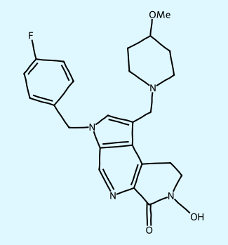 COC1CCN(Cc2cn(Cc3ccc(F)cc3)c3cnc4c(c23)CCN(O)C4=O)CC1